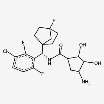 NC1CC(C(=O)N[C@H](c2c(F)ccc(Cl)c2F)C23CCC(F)(CC2)C3)C(O)C1O